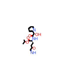 CC(C)OC(=O)[C@H](CCC(=O)C=N)NC(=O)[C@@H](O)c1ccccn1